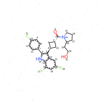 O=C([C@H]1C[C@H](c2c(-c3ccc(F)cc3)[nH]c3c(F)cc(F)cc32)C1)N1CCCC1CCO